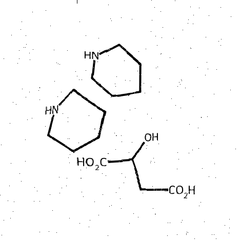 C1CCNCC1.C1CCNCC1.O=C(O)CC(O)C(=O)O